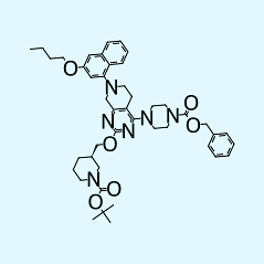 CCCCOc1cc(N2CCc3c(nc(OC[C@@H]4CCCN(C(=O)OC(C)(C)C)C4)nc3N3CCN(C(=O)OCc4ccccc4)CC3)C2)c2ccccc2c1